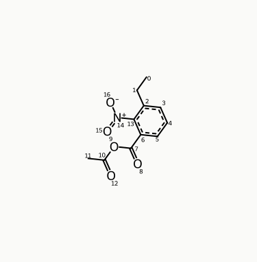 CCc1cccc(C(=O)OC(C)=O)c1[N+](=O)[O-]